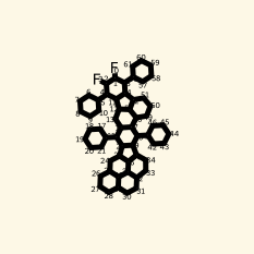 FC1C(F)C(C2CCCCC2)C2C3CC4C(C5CCCCC5)C5C6CC7CCCC8CCC9CCC(C6C9C87)C5C(C5CCCCC5)C4C4CCCC(C43)C2C1C1CCCCC1